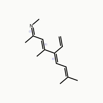 C=CC(=C\C=C(C)C)/C(C)=C/C(C)=N\C